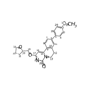 COc1ccc(-c2ccc3c(c2)CCn2c-3cc(OCC3CCCO3)nc2=O)cc1